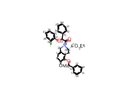 CCOC(=O)[C@@H]1Cc2c(ccc(OC)c2OCc2ccccc2)CN1C(=O)C(Oc1ccccc1F)c1ccccc1